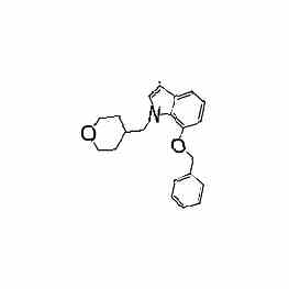 [c]1cn(CC2CCOCC2)c2c(OCc3ccccc3)cccc12